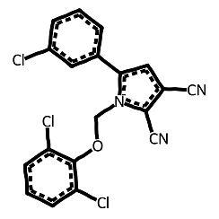 N#Cc1cc(-c2cccc(Cl)c2)n(COc2c(Cl)cccc2Cl)c1C#N